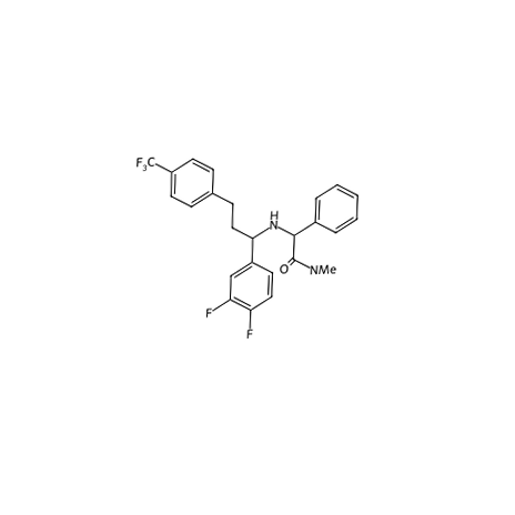 CNC(=O)C(NC(CCc1ccc(C(F)(F)F)cc1)c1ccc(F)c(F)c1)c1ccccc1